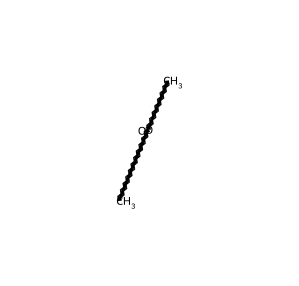 CCCCCCCCCCCCCCCCCCCCCC(=O)OCCCCCCCCCCCCCCC